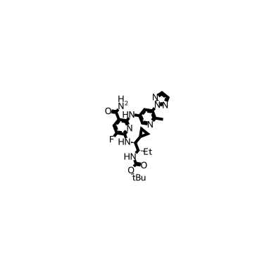 CC[C@H](NC(=O)OC(C)(C)C)[C@H](Nc1nc(Nc2cnc(C)c(-n3nccn3)c2)c(C(N)=O)cc1F)C1CC1